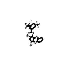 O=C(Oc1c(Br)cc(Br)c2nc3ccccc3nc12)c1cc(C(F)(F)F)cc(C(F)(F)F)c1